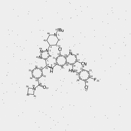 CC(C)(C)N1CCC(n2cc([C@@H](Nc3cc(Cl)c4ncc(C#N)c(Nc5ccc(F)c(Cl)c5)c4c3)c3cccc(C(=O)N4CCC4)c3)nn2)CC1